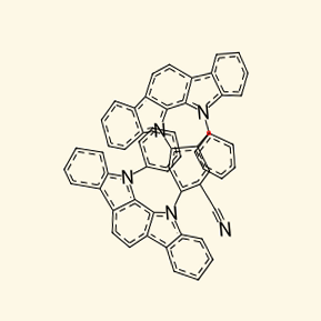 Cc1cc(C#N)c(-n2c3ccccc3c3ccc4c5ccccc5n(-c5ccccc5)c4c32)cc1-n1c2ccccc2c2ccc3c4ccccc4n(-c4ccccc4)c3c21